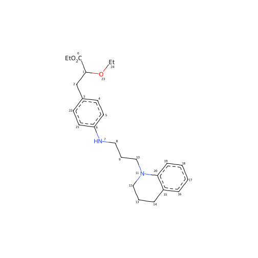 CCOC(=O)C(Cc1ccc(NCCCN2CCCc3ccccc32)cc1)OCC